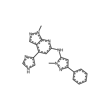 Cn1nc(-c2ccccc2)cc1Nc1cc(-c2c[nH]cn2)c2cnn(C)c2n1